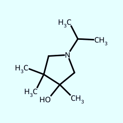 CC(C)N1CC(C)(C)C(C)(O)C1